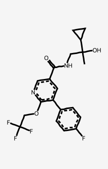 CC(O)(CNC(=O)c1cnc(OCC(F)(F)F)c(-c2ccc(F)cc2)c1)C1CC1